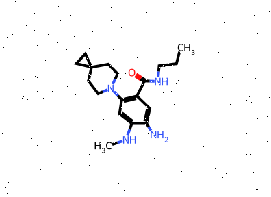 CCCNC(=O)c1cc(N)c(NC)cc1N1CCC2(CC1)CC2